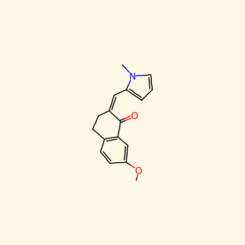 COc1ccc2c(c1)C(=O)C(=Cc1cccn1C)CC2